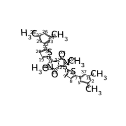 Cc1cc(C)cc(-c2ccc(C3=C4C(=O)N(C)C(c5ccc(-c6cc(C)cc(C)c6)s5)=C4C(=O)N3C)s2)c1